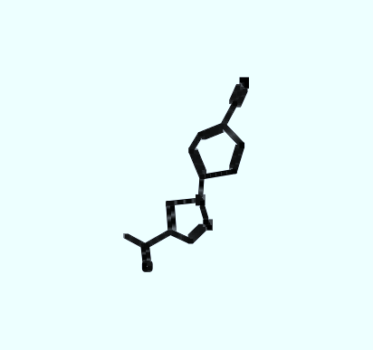 CC(=O)c1cnn(-c2ccc(C#N)cc2)c1